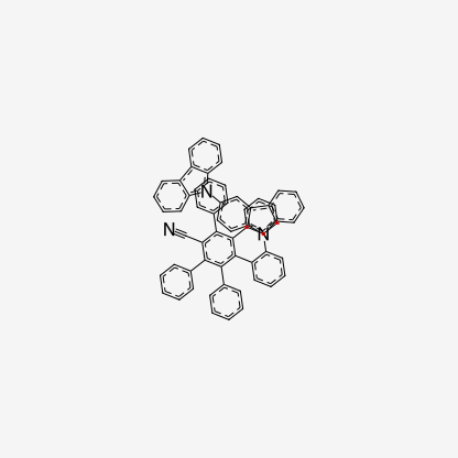 N#Cc1c(-c2ccccc2)c(-c2ccccc2)c(-c2ccccc2-n2c3ccccc3c3cc(-n4c5ccccc5c5ccccc54)ccc32)c(-c2ccccc2)c1-c1ccccc1